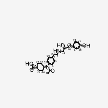 CC(=O)N(c1ccc(CCNC[C@H](O)COc2ccc(O)cc2)cc1)C1CCN(C(=O)O)CC1